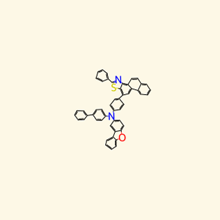 c1ccc(-c2ccc(N(c3ccc(-c4cc5c6ccccc6ccc5c5nc(-c6ccccc6)sc45)cc3)c3ccc4oc5ccccc5c4c3)cc2)cc1